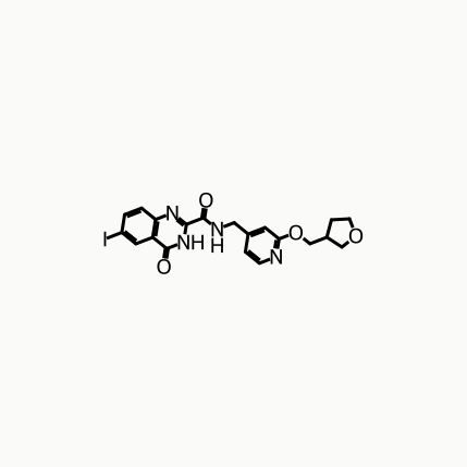 O=C(NCc1ccnc(OCC2CCOC2)c1)c1nc2ccc(I)cc2c(=O)[nH]1